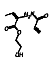 C=CC(N)=O.CC=C(C)C(=O)OCCO